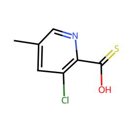 Cc1cnc(C(O)=S)c(Cl)c1